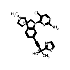 CN1CC[C@@]2(C1)CN(c1nc(N)ncc1Cl)c1cc(C#C[C@@](C)(O)c3nccs3)ccc12